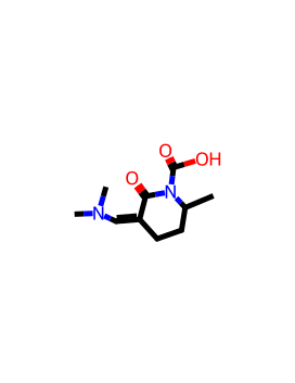 CC1CCC(=CN(C)C)C(=O)N1C(=O)O